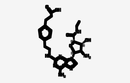 CCNC(=O)[C@H]1O[C@@H](n2cnc3c(N)nc(NCCc4ccc(CCC(=O)O)cc4)nc32)C(N)[C@H]1O